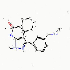 CCCNCc1cccc(-c2nn(C)c3[nH]c(=O)c4c(c23)CCCC4)c1